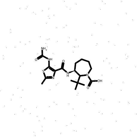 Cc1nc(C(=O)N[C@H]2CCCCN(C(=O)O)C2C(C)(C)C)c(NC(N)=O)s1